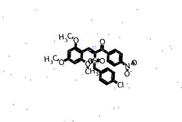 COc1cc(OC)c(/C=C(/C(=O)c2ccc([N+](=O)[O-])cc2)S(=O)(=O)Cc2ccc(Cl)cc2)c(OC)c1